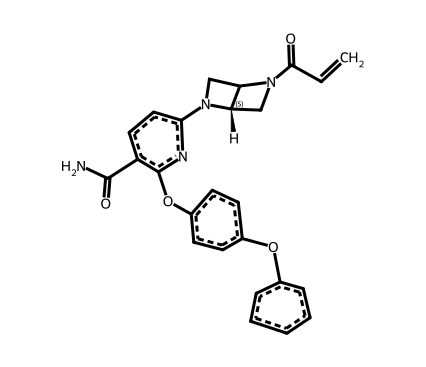 C=CC(=O)N1C[C@H]2C1CN2c1ccc(C(N)=O)c(Oc2ccc(Oc3ccccc3)cc2)n1